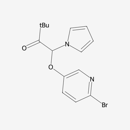 CC(C)(C)C(=O)C(Oc1ccc(Br)nc1)n1cccc1